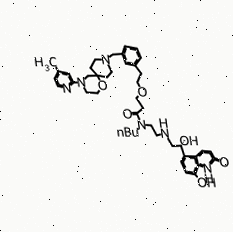 CCCCN(CCNC[C@H](O)c1ccc(O)c2[nH]c(=O)ccc12)C(=O)CCOCCc1cccc(CN2CCC3(CC2)CN(c2cc(C)ccn2)CCO3)c1